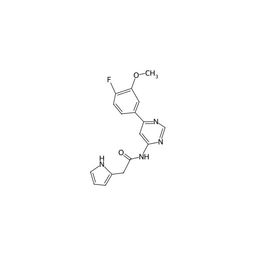 COc1cc(-c2cc(NC(=O)Cc3ccc[nH]3)ncn2)ccc1F